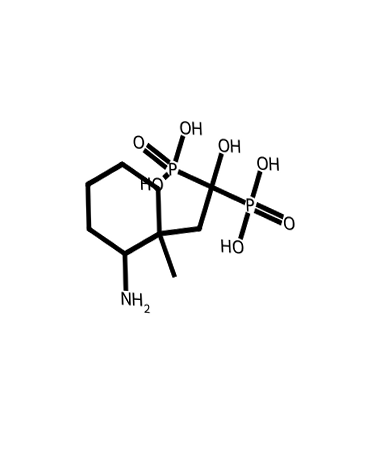 CC1(CC(O)(P(=O)(O)O)P(=O)(O)O)CCCCC1N